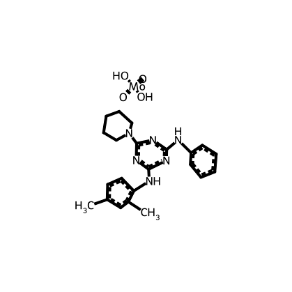 Cc1ccc(Nc2nc(Nc3ccccc3)nc(N3CCCCC3)n2)c(C)c1.[O]=[Mo](=[O])([OH])[OH]